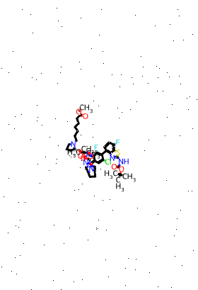 COC(=O)CCCCCCN1CCC[C@H]1COc1nc(N2C3CCC2CN(C(=O)OC(C)(C)C)C3)c2cc(Cl)c(-c3ccc(F)c4sc(NC(=O)OC(C)(C)C)nc34)c(F)c2n1